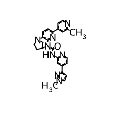 Cc1cc(-c2ccc3c(n2)N(C(=O)Nc2cc(-c4ccn(C)n4)ccn2)C2CCN3C2)ccn1